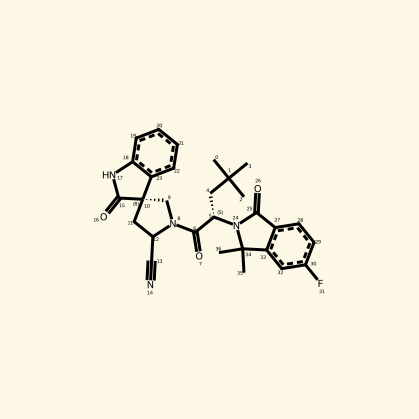 CC(C)(C)C[C@@H](C(=O)N1C[C@]2(CC1C#N)C(=O)Nc1ccccc12)N1C(=O)c2ccc(F)cc2C1(C)C